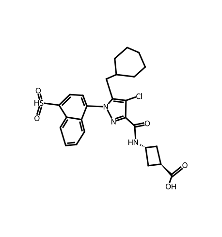 O=C(N[C@H]1C[C@H](C(=O)O)C1)c1nn(-c2ccc([SH](=O)=O)c3ccccc23)c(CC2CCCCC2)c1Cl